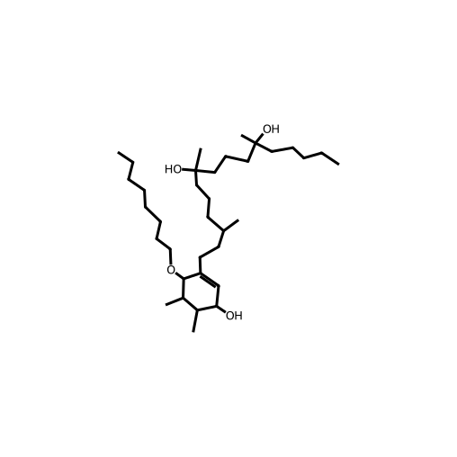 CCCCCCCCOC1C(CCC(C)CCCC(C)(O)CCCC(C)(O)CCCCC)=CC(O)C(C)C1C